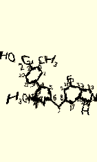 Cc1cc(-c2cc(Cc3cc(F)c4cn[nH]c4c3)nn2C)ccc1C(=O)O